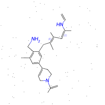 C=CN/C(C)=C\C(C)=C(/C)Cc1cc(C2=CCN(C(=C)C)CC2)cc(C)c1CN